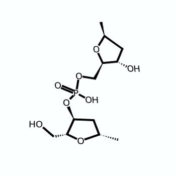 C[C@H]1C[C@H](OP(=O)(O)OC[C@H]2O[C@@H](C)C[C@@H]2O)[C@@H](CO)O1